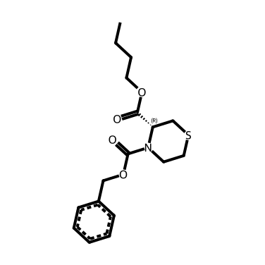 CCCCOC(=O)[C@@H]1CSCCN1C(=O)OCc1ccccc1